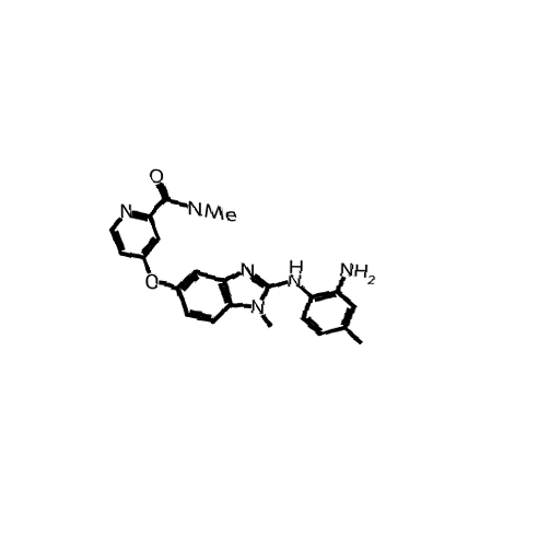 CNC(=O)c1cc(Oc2ccc3c(c2)nc(Nc2ccc(C)cc2N)n3C)ccn1